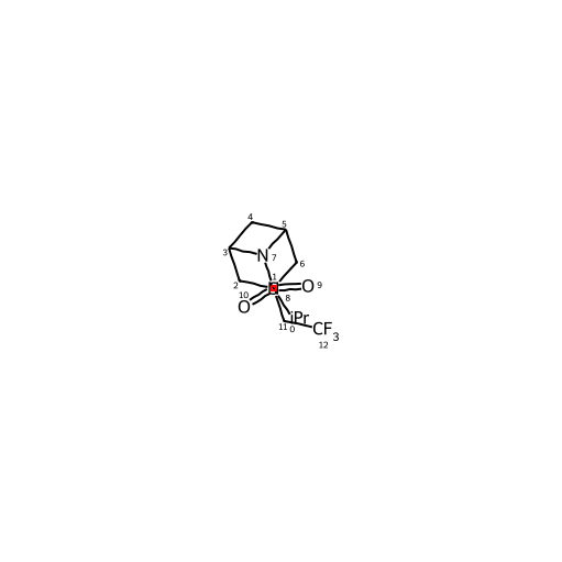 CC(C)N1CC2CC(C1)N2S(=O)(=O)CC(F)(F)F